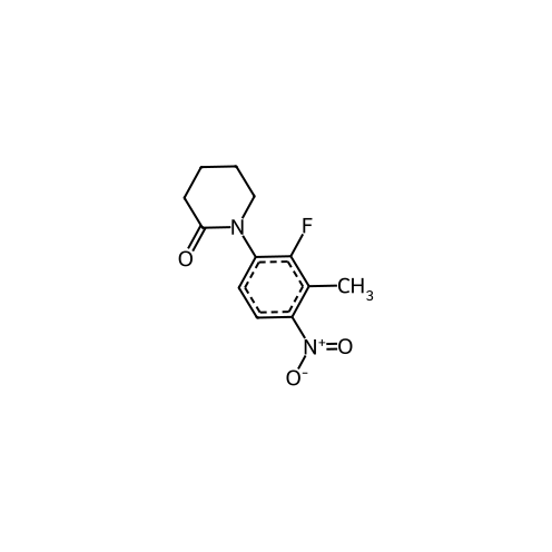 Cc1c([N+](=O)[O-])ccc(N2CCCCC2=O)c1F